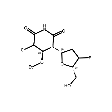 CCO[C@H]1C(Cl)C(=O)NC(=O)N1[C@@H]1CC(F)[C@H](CO)O1